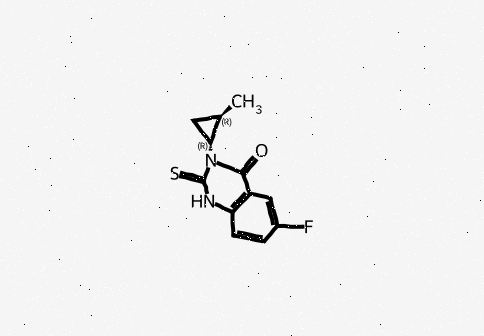 C[C@@H]1C[C@H]1n1c(=S)[nH]c2ccc(F)cc2c1=O